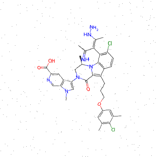 CC(=N)/C(=C(/C)NN)c1c(Cl)ccc2c(CCCOc3cc(C)c(Cl)c(C)c3)c3n(c12)[C@H](C)CN(c1cn(C)c2cnc(C(=O)O)cc12)C3=O